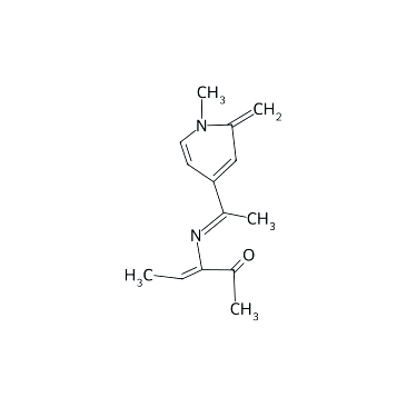 C=C1C=C(/C(C)=N/C(=C\C)C(C)=O)C=CN1C